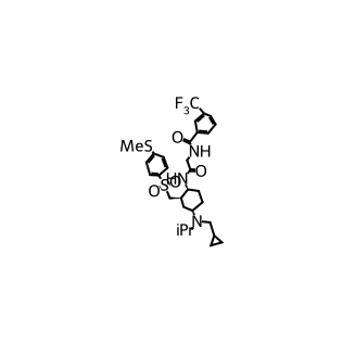 CSc1ccc(S(=O)(=O)C[C@@H]2C[C@H](N(CC3CC3)C(C)C)CC[C@@H]2NC(=O)CNC(=O)c2cccc(C(F)(F)F)c2)cc1